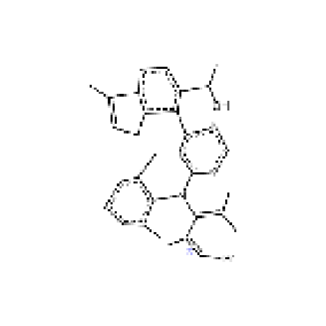 CC1=CCc2c1ccc(C(C)O)c2-c1cc(N(C(=C(C)C)/C(C)=C\C(C)C)c2c(C)cccc2C)ccn1